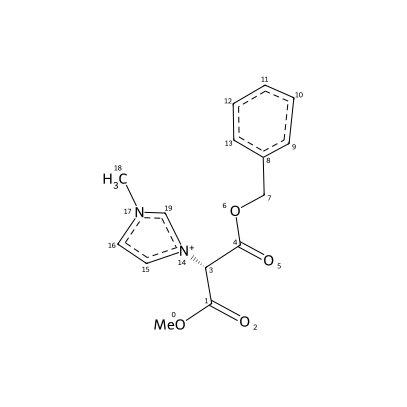 COC(=O)[C@@H](C(=O)OCc1ccccc1)[n+]1ccn(C)c1